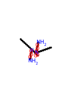 CCCCCCCCCCCCCCCCN(CCCCC(C(=O)OC)N(CCCCCCCCCCCCCCCC)OCCOCCOCCN)OCCOCCOCCN